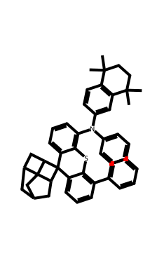 CC1(C)CCC(C)(C)c2cc(N(c3ccccc3)c3cccc4c3Sc3c(-c5ccccc5)cccc3C43C4CC5CC6CC3C64C5)ccc21